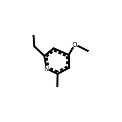 CCc1cc(OC)cc(C)n1